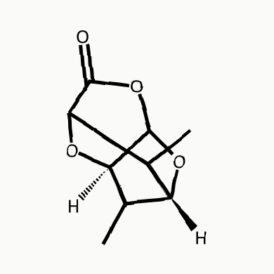 CC1C2O[C@H]3C(OC2=O)O[C@@H]1C3C